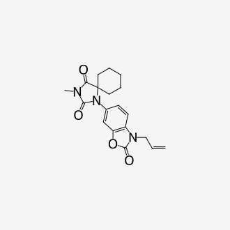 C=CCn1c(=O)oc2cc(N3C(=O)N(C)C(=O)C34CCCCC4)ccc21